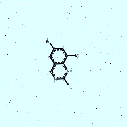 CCc1cc(Br)cc2cnc(I)nc12